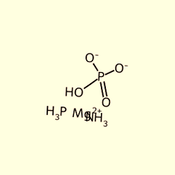 N.O=P([O-])([O-])O.P.[Mg+2]